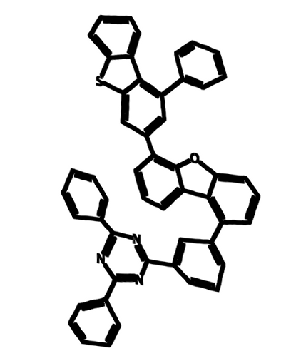 c1ccc(-c2nc(-c3ccccc3)nc(-c3cccc(-c4cccc5oc6c(-c7cc(-c8ccccc8)c8c(c7)sc7ccccc78)cccc6c45)c3)n2)cc1